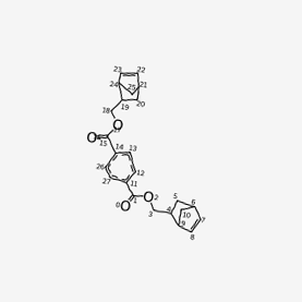 O=C(OCC1CC2C=CC1C2)c1ccc(C(=O)OCC2CC3C=CC2C3)cc1